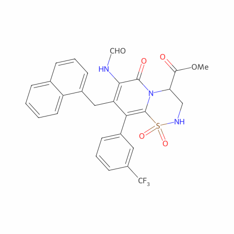 COC(=O)C1CNS(=O)(=O)c2c(-c3cccc(C(F)(F)F)c3)c(Cc3cccc4ccccc34)c(NC=O)c(=O)n21